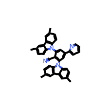 Cc1ccc2c(c1)c1cc(C)ccc1n2-c1cc(-c2ccccn2)cc(-n2c3ccc(C)cc3c3cc(C)ccc32)c1C#N